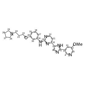 COc1cncc(-c2ncc(-c3ccnc(Nc4cccc(OCCCN5CCCC5)c4)n3)[nH]2)c1